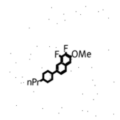 CCCC1CCC(c2ccc3cc(OC)c(F)c(F)c3c2)CC1